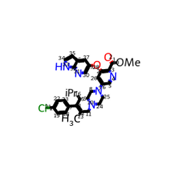 COC(=O)c1ncc(N2CCN(CC(C)=C(CC(C)C)c3ccc(Cl)cc3)CC2)cc1Oc1cnc2[nH]ccc2c1